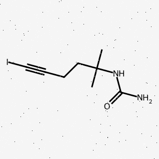 CC(C)(CCC#CI)NC(N)=O